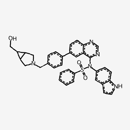 O=S(=O)(c1ccccc1)N(c1ccc2[nH]ccc2c1)c1ncnc2ccc(-c3ccc(CN4CC5C(CO)C5C4)cc3)cc12